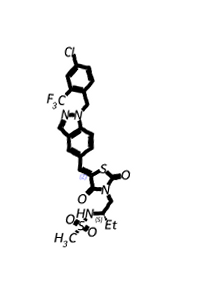 CC[C@@H](CN1C(=O)S/C(=C\c2ccc3c(cnn3Cc3ccc(Cl)cc3C(F)(F)F)c2)C1=O)NS(C)(=O)=O